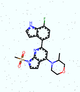 CC1COCCN1c1cc(-c2ccc(F)c3[nH]ccc23)nc2c1ccn2S(C)(=O)=O